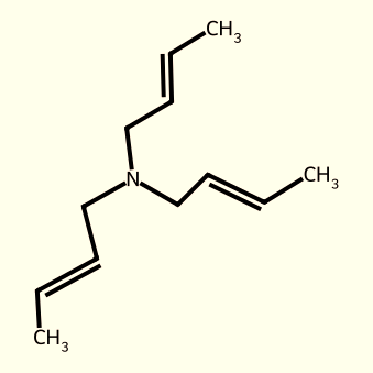 CC=CCN(CC=CC)CC=CC